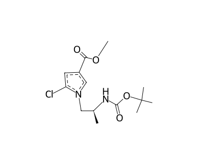 COC(=O)c1cc(Cl)n(C[C@H](C)NC(=O)OC(C)(C)C)c1